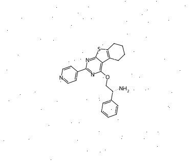 N[C@@H](COc1nc(-c2ccncc2)nc2sc3c(c12)CCCC3)c1ccccc1